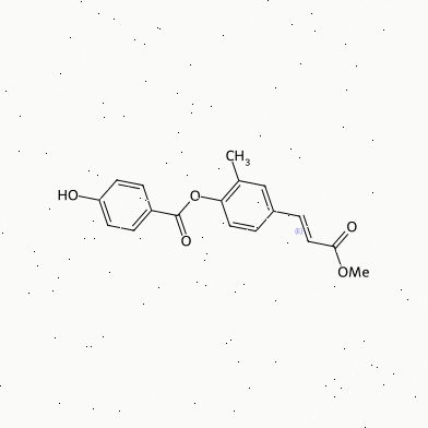 COC(=O)/C=C/c1ccc(OC(=O)c2ccc(O)cc2)c(C)c1